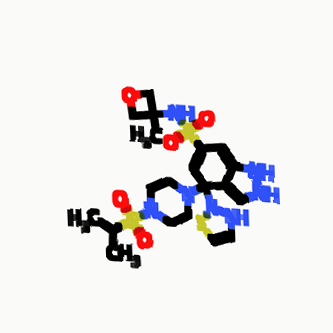 CC(C)S(=O)(=O)N1CCN(C2(N3NC=CS3)C=C(S(=O)(=O)NC3(C)COC3)C=C3NNC=C32)CC1